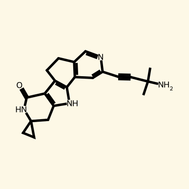 CC(C)(N)C#Cc1cc2c(cn1)CCc1c-2[nH]c2c1C(=O)NC1(CC1)C2